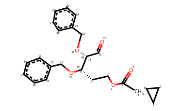 C1CC1.CC(=O)OCC[C@H](OCc1ccccc1)[C@@H](C=O)OCc1ccccc1